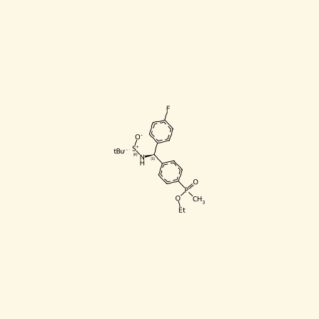 CCOP(C)(=O)c1ccc([C@@H](N[S@@+]([O-])C(C)(C)C)c2ccc(F)cc2)cc1